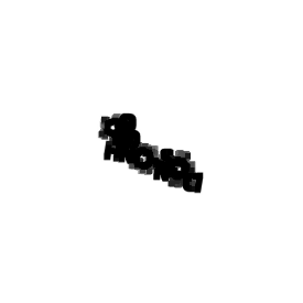 O=C(CC1CCCS1(=O)=O)NC1CCC(c2nc3cc(Cl)ccc3s2)CC1